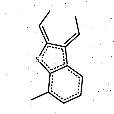 C/C=c1\c(=C/C)sc2c(C)cccc12